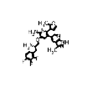 Cc1occc1-c1nc(N)c(OC[C@H](N)Cc2ccc(F)c(F)c2F)cc1-c1cnc2[nH]nc(C)c2c1